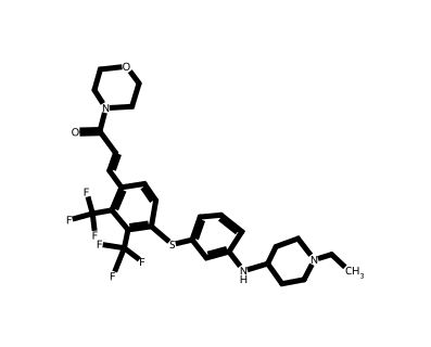 CCN1CCC(Nc2cccc(Sc3ccc(C=CC(=O)N4CCOCC4)c(C(F)(F)F)c3C(F)(F)F)c2)CC1